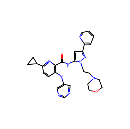 O=C(Nc1cc(-c2ccccn2)nn1CCN1CCOCC1)c1nc(C2CC2)ccc1Nc1cncnc1